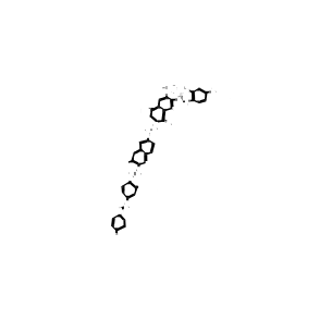 Nc1c(N=Nc2ccc3c(O)c(N=Nc4ccc(N=Nc5ccc(S(=O)(=O)O)cc5)cc4S(=O)(=O)O)c(S(=O)(=O)O)cc3c2)cc(S(=O)(=O)O)c2cc(S(=O)(=O)O)c(N=Nc3ccc([N+](=O)[O-])cc3S(=O)(=O)O)c(O)c12